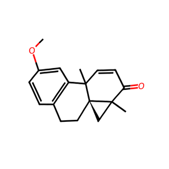 COc1ccc2c(c1)C1(C)C=CC(=O)C3(C)C[C@]31CC2